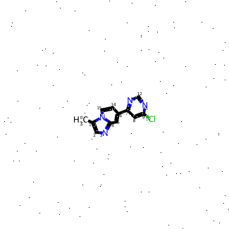 Cc1cnc2cc(-c3cc(Cl)ncn3)ccn12